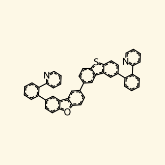 c1ccc(-c2ccccc2-c2ccc3oc4ccc(-c5ccc6sc7ccc(-c8ccccc8-c8ccccn8)cc7c6c5)cc4c3c2)nc1